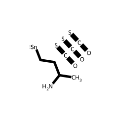 CC(N)C[CH2][Sn].O=C=S.O=C=S.O=C=S